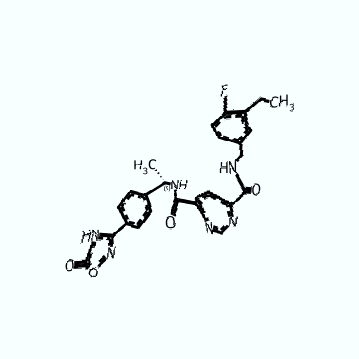 CCc1cc(CNC(=O)c2cc(C(=O)N[C@@H](C)c3ccc(-c4noc(=O)[nH]4)cc3)ncn2)ccc1F